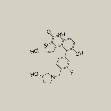 Cl.O=c1[nH]c2ccc(O)c(-c3ccc(CN4CCC(O)C4)c(F)c3)c2c2ccsc12